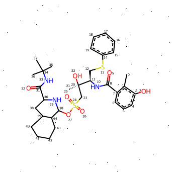 Cc1c(O)cccc1C(=O)N[C@H](CSc1ccccc1)[C@](C)(O)CS(=O)(=O)OC1NC(C(=O)NC(C)(C)C)CC2CCCCC21